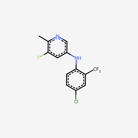 [CH2]c1ncc(Nc2ccc(Cl)cc2C(F)(F)F)cc1F